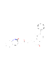 C[C@]12CCC3c4ccccc4CCC3C1[C@H](CCC(=O)Nc1cc3c([nH]c1=O)CCCC3)CC2=O